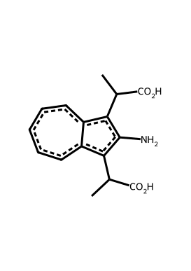 CC(C(=O)O)c1c2cccccc-2c(C(C)C(=O)O)c1N